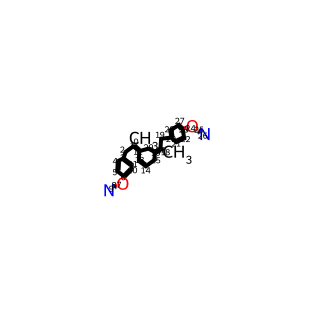 CC(Cc1ccc(OC#N)cc1)=C1C=CCC(=C(C)Cc2ccc(OC#N)cc2)C1